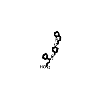 O=C(O)CC/C(=N/OCc1ccc(OCc2ccc3ccccc3n2)cc1)c1ccccc1